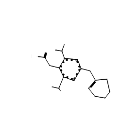 CC(C)c1cc(CC2=CCCCC2)cc(C(C)C)c1CC(=O)O